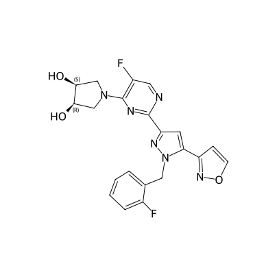 O[C@@H]1CN(c2nc(-c3cc(-c4ccon4)n(Cc4ccccc4F)n3)ncc2F)C[C@@H]1O